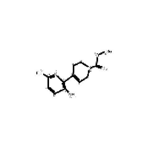 CC(C)(C)OC(=O)N1CC=C(c2nc(C(F)(F)F)ccc2N)CC1